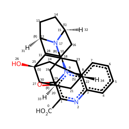 O=C(O)c1nc2ccccc2n([C@H]2C[C@H]3CC[C@@H](C2)N3C23C[C@H]4C[C@@H](C2)C[C@](O)(C4)C3)c1=O